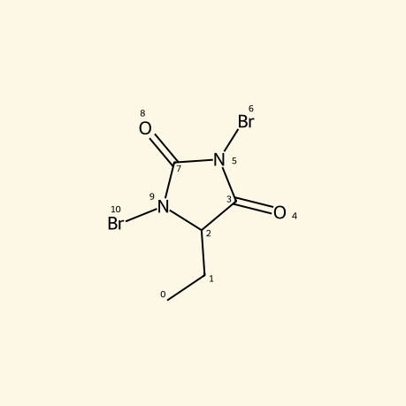 CCC1C(=O)N(Br)C(=O)N1Br